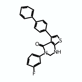 O=C1c2c(-c3ccc(-c4ccccc4)cc3)csc2NCN1c1cccc(F)c1